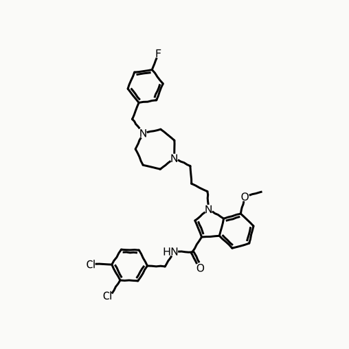 COc1cccc2c(C(=O)NCc3ccc(Cl)c(Cl)c3)cn(CCCN3CCCN(Cc4ccc(F)cc4)CC3)c12